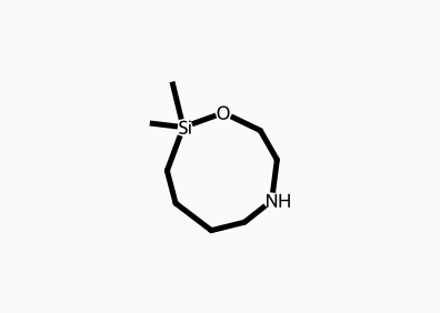 C[Si]1(C)CCCCNCCO1